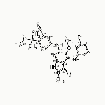 COc1c(F)cccc1Nc1cc(Nc2cnc(C(C)(C)OC)c(C#N)n2)nc2[nH]n(C)c(=O)c12